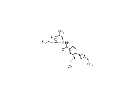 COC1CN(c2ccc(C(=O)N[C@H](COCCCF)CC(C)C)nc2OCC2CC2)C1